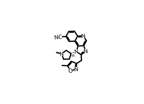 Cc1cc(Cc2nc3cnc4ccc(C#N)cc4c3n2[C@@H]2CCN(C)C2)no1